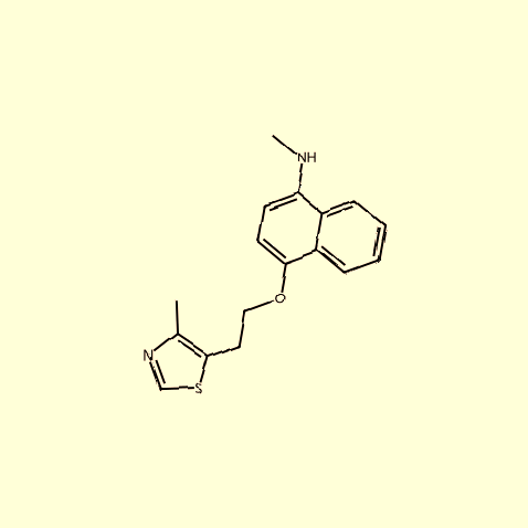 CNc1ccc(OCCc2scnc2C)c2ccccc12